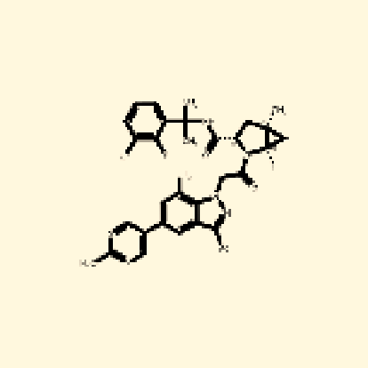 CC(=O)c1nn(CC(=O)N2[C@H](C(=O)NC(C)(C)c3cccc(Cl)c3F)C[C@@]3(C)C[C@@H]23)c2c(C)cc(-c3cnc(C)nc3)cc12